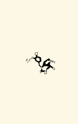 O=c1[nH]c(=S)n(Cc2ccc(Cl)c(OC(F)(F)F)c2)c2cc[nH]c12